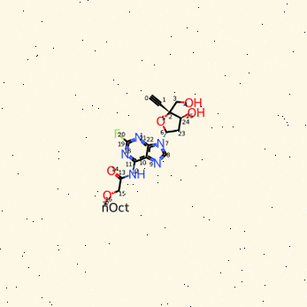 C#C[C@]1(CO)O[C@@H](n2cnc3c(NC(=O)COCCCCCCCC)nc(F)nc32)C[C@@H]1O